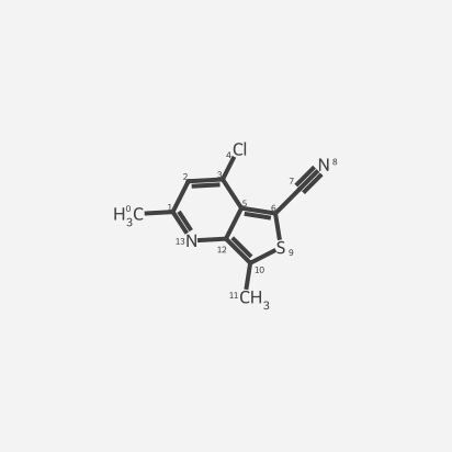 Cc1cc(Cl)c2c(C#N)sc(C)c2n1